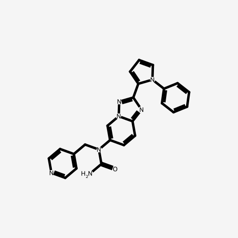 NC(=O)N(Cc1ccncc1)c1ccc2nc(-c3cccn3-c3ccccc3)nn2c1